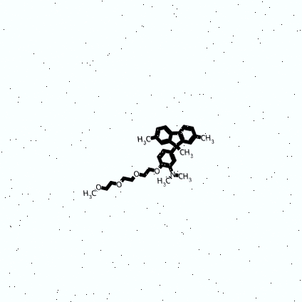 COCCOCCOCCOc1ccc(C2(C)c3cc(C)ccc3-c3ccc(C)cc32)cc1N(C)C